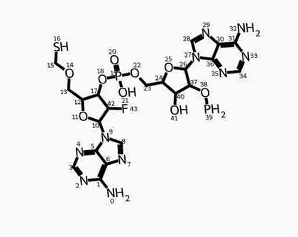 Nc1ncnc2c1ncn2C1OC(COCS)C(OP(=O)(O)OCC2OC(n3cnc4c(N)ncnc43)C(OP)C2O)C1F